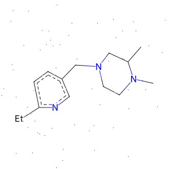 CCc1ccc(CN2CCN(C)C(C)C2)cn1